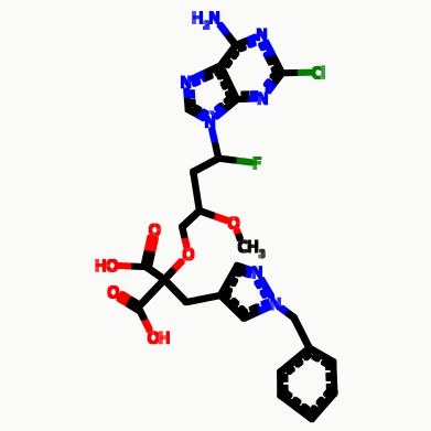 COC(COC(Cc1cnn(Cc2ccccc2)c1)(C(=O)O)C(=O)O)CC(F)n1cnc2c(N)nc(Cl)nc21